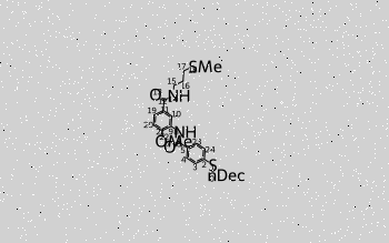 CCCCCCCCCCSc1ccc(C(=O)Nc2cc(C(=O)NCCCSC)ccc2OC)cc1